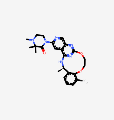 C[C@H]1Nc2nc(nc3cnc(N4CCN(C)C(C)(C)C4=O)cc23)OCCOc2c1cccc2C(F)(F)F